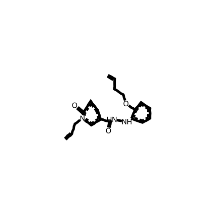 C=CCCOc1ccccc1NNC(=O)c1ccc(=O)n(CC=C)c1